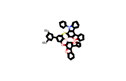 CC(C)(C)c1cc(-c2cc3c4c(c2)Sc2c(c5oc6ccccc6c5c5c6ccccc6n(-c6ccccc6)c25)B4c2c(c4oc5ccccc5c4c4c2oc2ccccc24)O3)cc(C(C)(C)C)c1